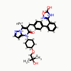 CCCc1c(Cc2ccc(-c3ccccc3C3=NOC(O)N3)cc2)c(=O)n([C@H]2CC[C@H](OCC(C)(C)O)CC2)c2ccnn12